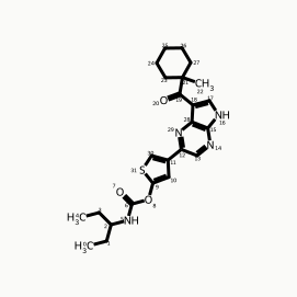 CCC(CC)NC(=O)Oc1cc(-c2cnc3[nH]cc(C(=O)C4(C)CCCCC4)c3n2)cs1